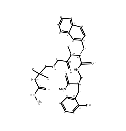 CNC(=O)[C@@H](CNC(=O)[C@@H](Cc1ccc2ccccc2c1)N(C)C(=O)COCC(C)(C)NC(=O)OC(C)(C)C)Cc1ccccc1F